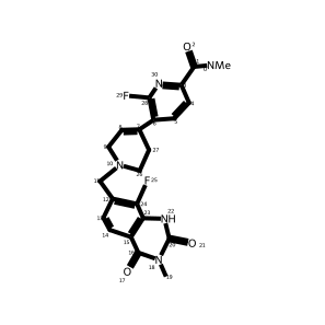 CNC(=O)c1ccc(C2=CCN(Cc3ccc4c(=O)n(C)c(=O)[nH]c4c3F)CC2)c(F)n1